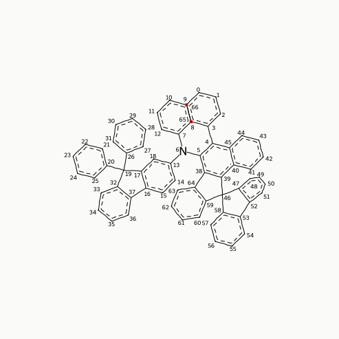 c1ccc(-c2c(N(c3ccccc3)c3ccc4c(c3)C(c3ccccc3)(c3ccccc3)c3ccccc3-4)c3c(c4ccccc24)C2(c4ccccc4-c4ccccc42)c2ccccc2-3)cc1